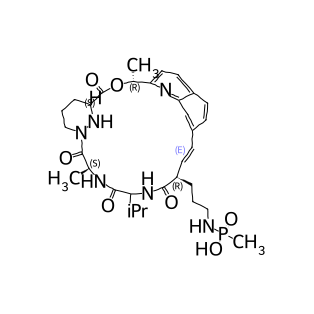 CC(C)C1NC(=O)[C@H](CCCNP(C)(=O)O)/C=C/c2ccc3ccc(nc3c2)[C@@H](C)OC(=O)[C@@H]2CCCN(N2)C(=O)[C@H](C)NC1=O